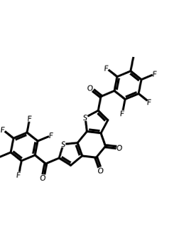 Cc1c(F)c(F)c(F)c(C(=O)c2cc3c(s2)-c2sc(C(=O)c4c(F)c(F)c(F)c(F)c4F)cc2C(=O)C3=O)c1F